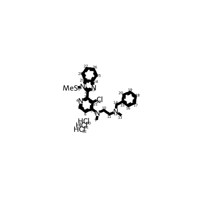 CSn1c(-c2nccc(N(C)CCN(C)Cc3ccccc3)c2Cl)nc2ccccc21.Cl.Cl.Cl